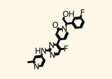 Cc1cc(Nc2ncc(F)c(-c3ccn(C(CO)c4cccc(F)c4)c(=O)c3)n2)ccn1